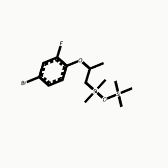 CC(C[Si](C)(C)O[Si](C)(C)C)Oc1ccc(Br)cc1F